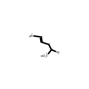 CCCC=CCC(C(C)=O)C(=O)O